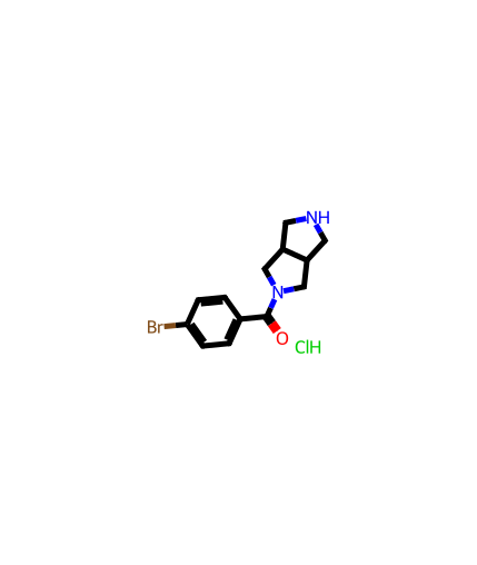 Cl.O=C(c1ccc(Br)cc1)N1CC2CNCC2C1